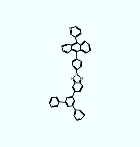 c1ccc(-c2cc(-c3ccccc3)cc(-c3ccc4nn(-c5ccc(-c6c7ccccc7c(-c7cccnc7)c7ccccc67)cc5)nc4c3)c2)cc1